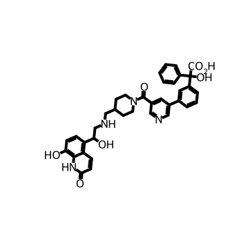 O=C(c1cncc(-c2cccc(C(O)(C(=O)O)c3ccccc3)c2)c1)N1CCC(CNCC(O)c2ccc(O)c3[nH]c(=O)ccc23)CC1